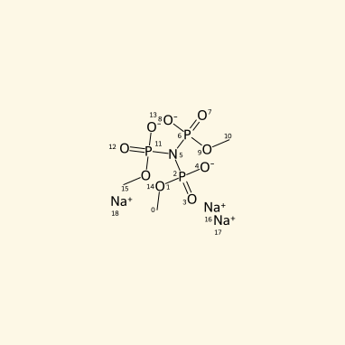 COP(=O)([O-])N(P(=O)([O-])OC)P(=O)([O-])OC.[Na+].[Na+].[Na+]